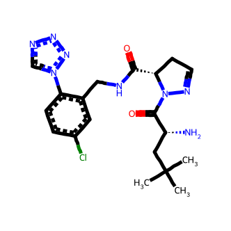 CC(C)(C)C[C@@H](N)C(=O)N1N=CC[C@H]1C(=O)NCc1cc(Cl)ccc1-n1cnnn1